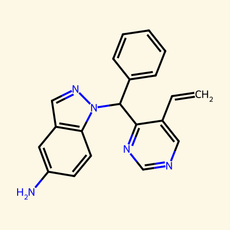 C=Cc1cncnc1C(c1ccccc1)n1ncc2cc(N)ccc21